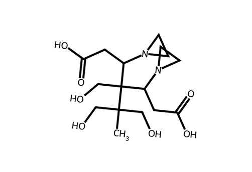 CC(CO)(CO)C(CO)(C(CC(=O)O)N1CC1)C(CC(=O)O)N1CC1